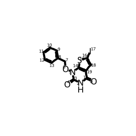 O=c1[nH]c(=O)n(OCc2ccccc2)c2sc(I)cc12